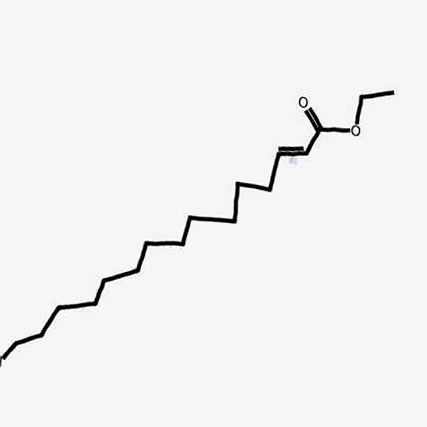 CCOC(=O)/C=C/CCCCCCCCCCCCI